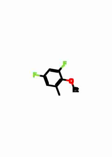 CCOc1c(C)cc(F)cc1F